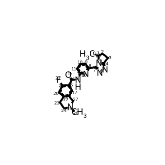 C[C@H]1CCc2nnc(-c3cccc(NC(=O)c4cc5c(cc4F)CCN(C)C5)n3)n21